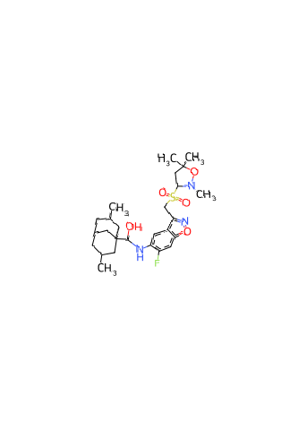 CC1CC2CC(C)CC(C(O)Nc3cc4c(CS(=O)(=O)C5CC(C)(C)ON5C)noc4cc3F)(C1)C2